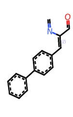 C=N/C(C=O)=C\c1ccc(-c2ccccc2)cc1